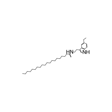 C=C(CCCCCCCCCCCCCCCCCCC)NCCc1c[nH]c2ccc(CC)cc12